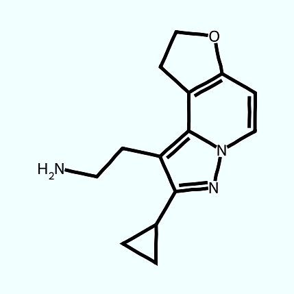 NCCc1c(C2CC2)nn2ccc3c(c12)CCO3